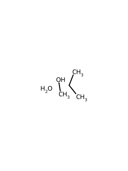 CCC.CO.O